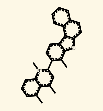 Cc1c(-c2cc(C)c3c(C)cccc3[n+]2C)ccc2c1oc1ccc3ccccc3c12